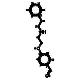 O=Cc1ccc(OCCNCCc2ccccc2)cc1